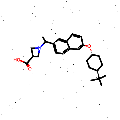 CC(c1ccc2cc(O[C@H]3CC[C@H](C(C)(C)C)CC3)ccc2c1)N1CC(C(=O)O)C1